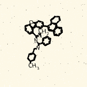 C=N/C(=N\C(=N/CC1=CCC(C)C=C1)c1ccccc1)c1cccc2oc3ccc(-c4cc5ccccc5c5c4C=CCC5)cc3c12